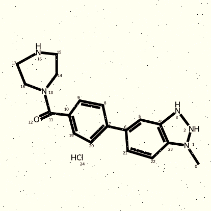 CN1NNc2cc(-c3ccc(C(=O)N4CCNCC4)cc3)ccc21.Cl